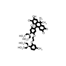 Cc1ccc(N(CC(=O)O)CC(=O)O)c(OCCOc2cc(C3=C4C=C(Cl)C(=O)C=C4C(C)(C)c4cc(O)c(Cl)cc43)c(C(=O)O)cc2N(CC(=O)O)CC(=O)O)c1